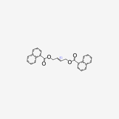 O=C(OC/C=C/COC(=O)c1cccc2ccccc12)c1cccc2ccccc12